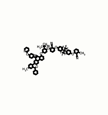 Cc1ccc(-c2ccc(-c3cccc(Oc4ccc(Oc5cccc(Oc6ccc(C(c7ccc(Oc8cccc(C)c8C#N)cc7)(C(F)(F)F)C(F)(F)F)cc6)c5C#N)c(C(C)(C)C)c4)c3C#N)c(C(=O)c3ccc(Oc4ccccn4)cc3)c2)c(C(=O)c2ccccc2)c1